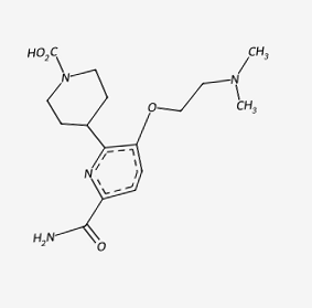 CN(C)CCOc1ccc(C(N)=O)nc1C1CCN(C(=O)O)CC1